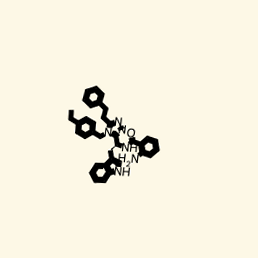 CCc1ccc(Cn2c(CCc3ccccc3)nnc2[C@@H](Cc2c[nH]c3ccccc23)NC(=O)c2ccccc2N)cc1